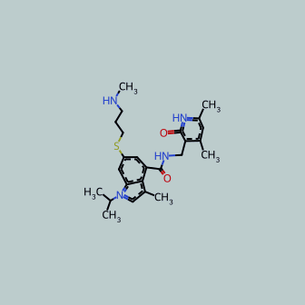 CNCCCSc1cc(C(=O)NCc2c(C)cc(C)[nH]c2=O)c2c(C)cn(C(C)C)c2c1